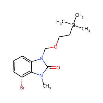 Cn1c(=O)n(COCC[Si](C)(C)C)c2cccc(Br)c21